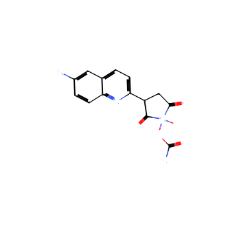 NC(=O)O[N+]1(O)C(=O)CC(c2ccc3cc(N)ccc3n2)C1=O